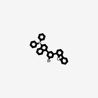 Brc1cc(-c2ccc(N(c3ccccc3)c3ccccc3)c3ccccc23)cc(-c2cccc3c2oc2ccccc23)c1